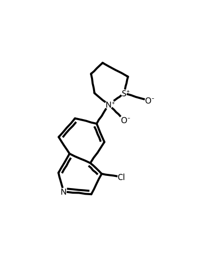 [O-][S+]1CCCC[N+]1([O-])c1ccc2cncc(Cl)c2c1